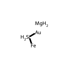 [Fe][SiH2][Au].[MgH2]